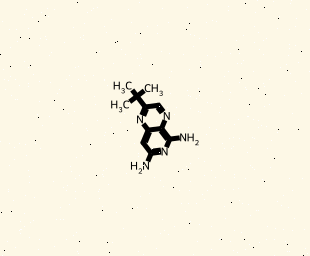 CC(C)(C)c1cnc2c(N)nc(N)cc2n1